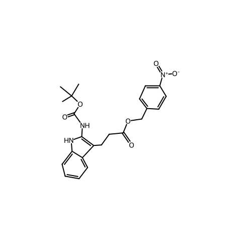 CC(C)(C)OC(=O)Nc1[nH]c2ccccc2c1CCC(=O)OCc1ccc([N+](=O)[O-])cc1